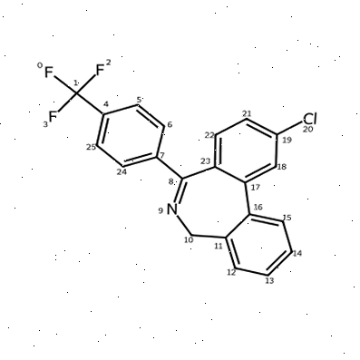 FC(F)(F)c1ccc(C2=NCc3ccccc3-c3cc(Cl)ccc32)cc1